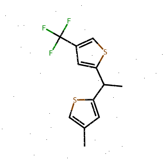 C[C](c1cc(C)cs1)c1cc(C(F)(F)F)cs1